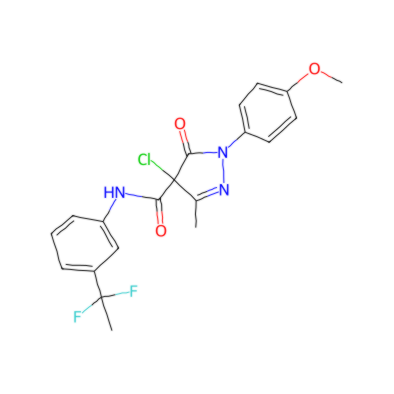 COc1ccc(N2N=C(C)C(Cl)(C(=O)Nc3cccc(C(C)(F)F)c3)C2=O)cc1